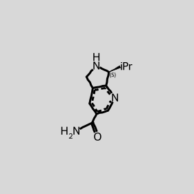 CC(C)[C@@H]1NCc2cc(C(N)=O)cnc21